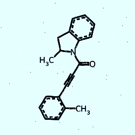 Cc1ccccc1C#CC(=O)N1c2ccccc2CC1C